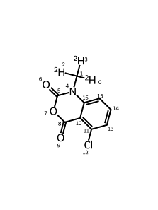 [2H]C([2H])([2H])n1c(=O)oc(=O)c2c(Cl)cccc21